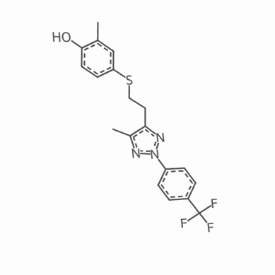 Cc1cc(SCCc2nn(-c3ccc(C(F)(F)F)cc3)nc2C)ccc1O